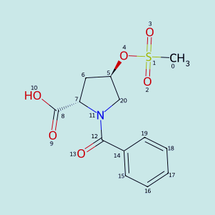 CS(=O)(=O)O[C@@H]1C[C@@H](C(=O)O)N(C(=O)c2ccccc2)C1